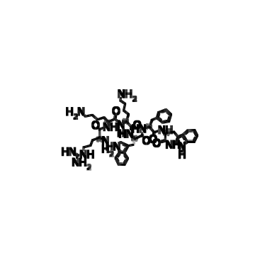 N=C(N)NCCC[C@H](N)C(=O)N[C@@H](CCCCN)C(=O)N[C@@H](CCCCN)C(=O)N[C@@H](Cc1c[nH]c2ccccc12)C(=O)N[C@@H](Cc1ccccc1)C(=O)N[C@@H](Cc1c[nH]c2ccccc12)C(N)=O